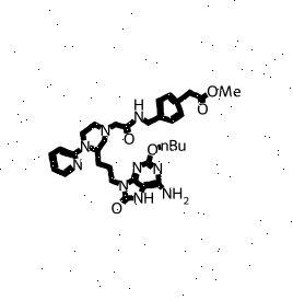 CCCCOc1nc(N)c2[nH]c(=O)n(CCCC3CN(CC(=O)NCc4ccc(CC(=O)OC)cc4)CCN3c3ccccn3)c2n1